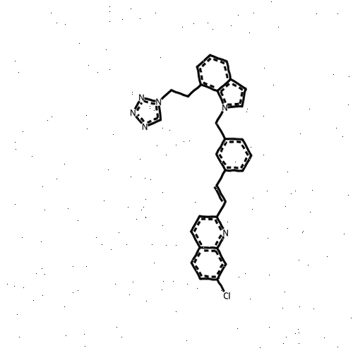 Clc1ccc2ccc(/C=C/c3cccc(Cn4ccc5cccc(CCn6cnnn6)c54)c3)nc2c1